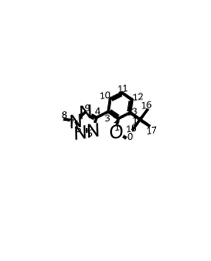 COc1c(-c2nnn(C)n2)cccc1C(C)(C)C